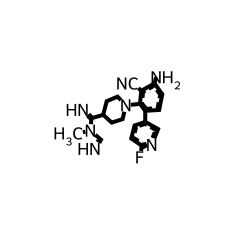 CN(C=N)C(=N)C1CCN(c2c(-c3ccc(F)nc3)ccc(N)c2C#N)CC1